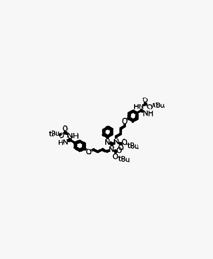 CC(C)(C)OC(=O)NC(=N)c1ccc(OCCCCN(C(=O)OC(C)(C)C)C(=Nc2ccccc2)N(CCCCOc2ccc(C(=N)NC(=O)OC(C)(C)C)cc2)C(=O)OC(C)(C)C)cc1